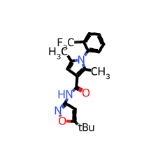 Cc1cc(C(=O)Nc2cc(C(C)(C)C)on2)c(C)n1-c1ccccc1C(F)(F)F